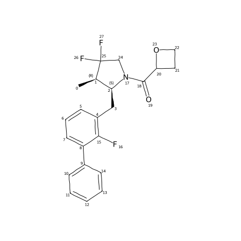 C[C@@H]1[C@H](Cc2cccc(-c3ccccc3)c2F)N(C(=O)C2CCO2)CC1(F)F